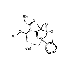 CCCCOC[C@@]1(c2ccccc2F)CS(=O)(=O)C(C)(C)C(N(C(=O)OC(C)(C)C)C(=O)OC(C)(C)C)=N1